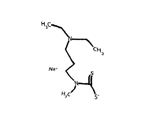 CCN(CC)CCCN(C)C(=S)[S-].[Na+]